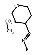 CC(=O)O.CCN=CC1CCNCC1